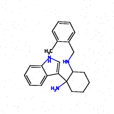 Cc1ccccc1CNC1CCCCC1(N)c1c[nH]c2ccccc12